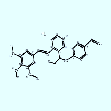 CCC(Oc1ccc(C=O)cc1)c1cnccc1C=Cc1cc(OC)c(OC)c(OC)c1.I